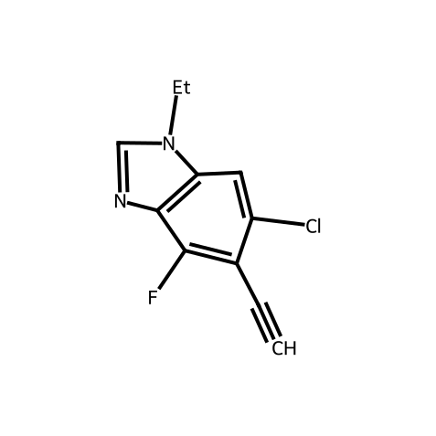 C#Cc1c(Cl)cc2c(ncn2CC)c1F